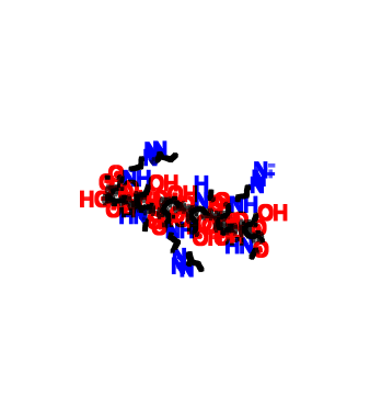 CCc1cn(CCCNC(=O)C2O[C@@H](O[C@@H]3C(NC(C)=O)[C@H](O[C@@H]4C(C(=O)NCCCn5cc(CC)nn5)O[C@@H](O[C@@H]5C(NC(C)=O)[C@H](O[C@@H]6C(C(=O)NCCCN=[N+]=[N-])O[C@@H](O[C@@H]7C(NC(C)=O)[C@H](C)OC(CO)[C@H]7O)C(O)[C@H]6O)OC(CO)[C@H]5O)C(O)[C@H]4O)OC(CO)[C@H]3O)C(O)[C@@H](O)[C@@H]2OC)nn1